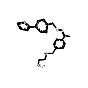 CC(=NOCc1ccc(-c2cccs2)cc1)c1ccc(CNCCC(=O)O)cc1